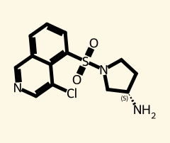 N[C@H]1CCN(S(=O)(=O)c2cccc3cncc(Cl)c23)C1